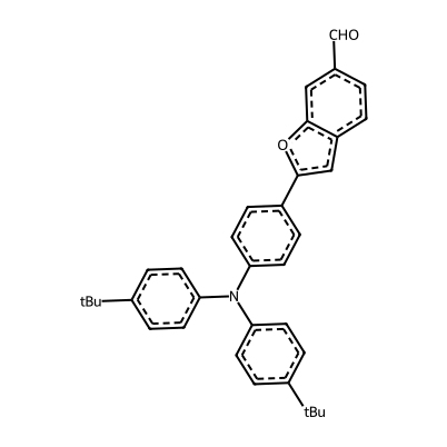 CC(C)(C)c1ccc(N(c2ccc(-c3cc4ccc(C=O)cc4o3)cc2)c2ccc(C(C)(C)C)cc2)cc1